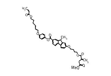 C=CC(=O)OCCCCCCOc1ccc(OC(=O)c2ccc3c(c2)C(C)c2cc(OCCCCOC(=O)C(=C)CC(=O)OC)ccc2-3)cc1